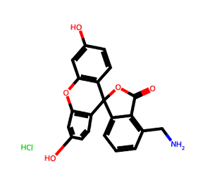 Cl.NCc1cccc2c1C(=O)OC21c2ccc(O)cc2Oc2cc(O)ccc21